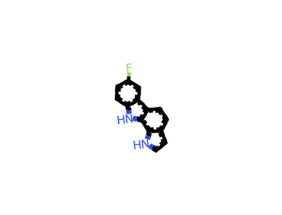 Fc1ccc2[nH]c3c(ccc4cc[nH]c43)c2c1